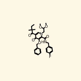 CCC(C)(C)C(=O)c1cn(CC(OC)OC)c(C(=O)NCc2ccc(F)cc2)c(OCc2ccccc2)c1=O